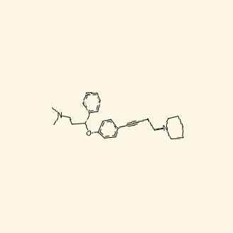 CN(C)CCC(Oc1ccc(C#CCCN2CCCCC2)cc1)c1ccccc1